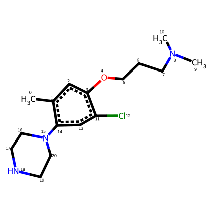 Cc1cc(OCCCN(C)C)c(Cl)cc1N1CCNCC1